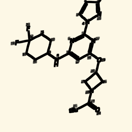 Cc1ccn(-c2nc(NC3CCC(F)(F)CC3)cc(OC3CN(C(=O)C(C)(C)C)C3)n2)n1